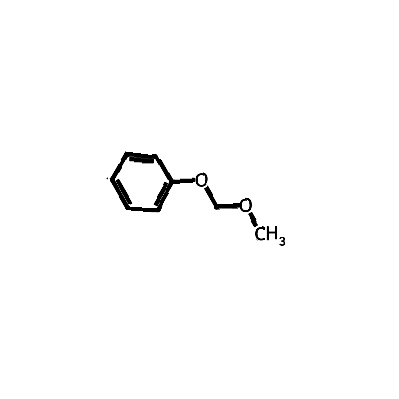 COCOc1cc[c]cc1